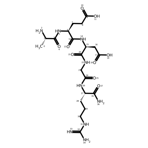 C[C@H](N)C(=O)N[C@@H](CCC(=O)O)C(=O)N[C@@H](CC(=O)O)C(=O)NCC(=O)N[C@@H](CCCNC(=N)N)C(N)=O